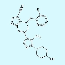 Cc1c(C2=Cn3ncc(C#N)c3C(Sc3ncccc3F)C2)cnn1[C@H]1CC[C@@H](O)CC1